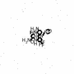 NC(=O)c1cc(F)c(N[C@@H]2CCCC[C@@H]2N)nc1Nc1cc(C(F)(F)F)cc2c1ccn2CCN1CCOCC1